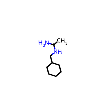 C[C](N)NCC1CCCCC1